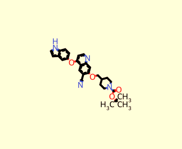 CC(C)(C)OC(=O)N1CCC(COc2cc3nccc(Oc4ccc5[nH]ccc5c4)c3cc2C#N)CC1